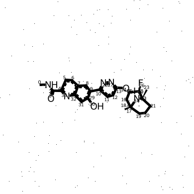 CNC(=O)c1ccc2cc(-c3ccc(O[C@@H]4C[C@@]5(C)CCC[C@](C)(N5)[C@@H]4F)nn3)c(O)cc2n1